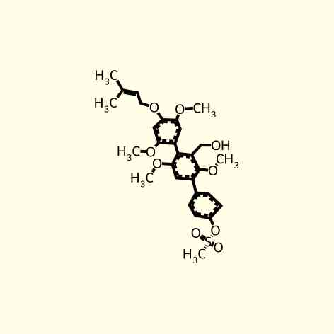 COc1cc(-c2c(OC)cc(-c3ccc(OS(C)(=O)=O)cc3)c(OC)c2CO)c(OC)cc1OCC=C(C)C